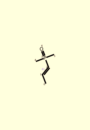 C/C=C/P(C)(C)=O